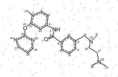 Cc1ccc(NC(=O)c2cccc(CN(C)CCN(C)C)c2)cc1Oc1ncccn1